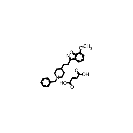 COc1cccc2c(CCC3CCN(Cc4ccccc4)CC3)noc12.O=C(O)/C=C/C(=O)O